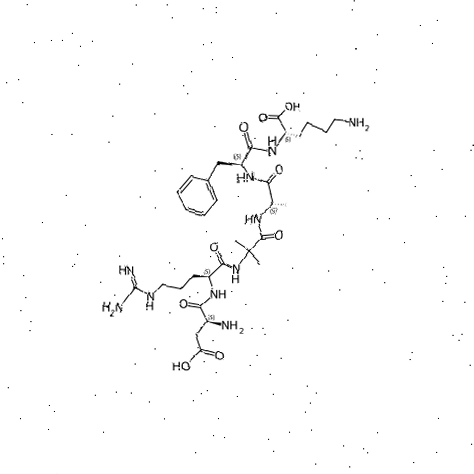 C[C@H](NC(=O)C(C)(C)NC(=O)[C@H](CCCNC(=N)N)NC(=O)[C@@H](N)CC(=O)O)C(=O)N[C@@H](Cc1ccccc1)C(=O)N[C@@H](CCCCN)C(=O)O